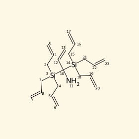 C=CC[Si](CC=C)(CC=C)C(N)(C=C)[Si](CC=C)(CC=C)CC=C